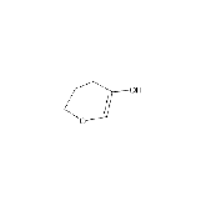 OC1=COCCC1